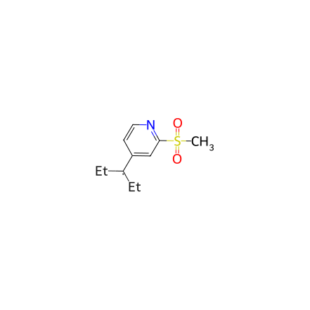 CC[C](CC)c1ccnc(S(C)(=O)=O)c1